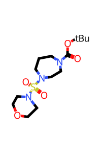 CC(C)(C)OC(=O)N1CCCN(S(=O)(=O)N2CCOCC2)CC1